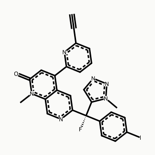 C#Cc1cccc(-c2cc(=O)n(C)c3cnc([C@](F)(c4ccc(I)cc4)c4cnnn4C)cc23)n1